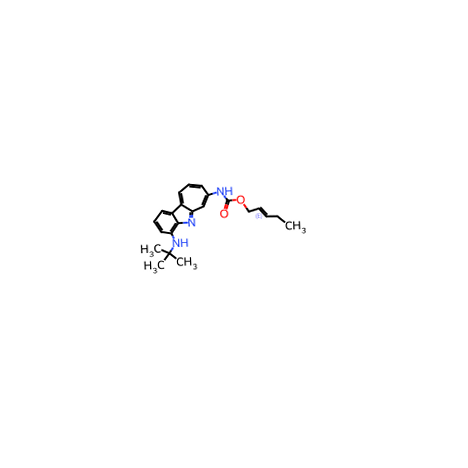 CC/C=C/COC(=O)Nc1cccc2c3cccc(NC(C)(C)C)c3nc-2c1